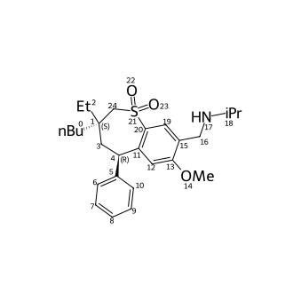 CCCC[C@@]1(CC)C[C@H](c2ccccc2)c2cc(OC)c(CNC(C)C)cc2S(=O)(=O)C1